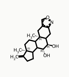 C=C1CCC2C3C(CC[C@]12C)[C@@]1(C)Cc2conc2CC1[C@@H](O)[C@@H]3O